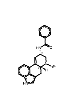 CCCN1C[C@@H](NC(=O)c2ccccc2)C=C2c3cccc4[nH]cc(c34)C[C@H]21